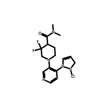 CN(C)C(=O)C1CCN(c2cnccc2N2C=CCN2Cl)CC1(F)F